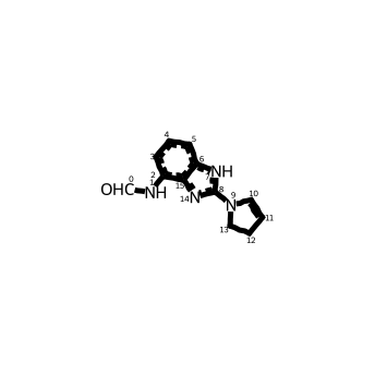 O=CNc1cccc2[nH]c(N3C=CCC3)nc12